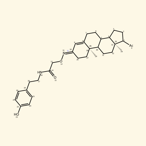 CC(=O)C1CCC2C3CCC4=C/C(=N/OCC(=O)NCCc5ccc(O)cc5)CC[C@]4(C)C3CC[C@]12C